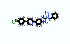 Cn1c(NCc2ccccc2)nc2cc(-c3ccc(-c4ccc(Cl)cc4)cn3)ccc21